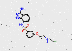 Nc1n[nH]c2c(NS(=O)(=O)c3cccc(OCCNCCF)c3)cccc12